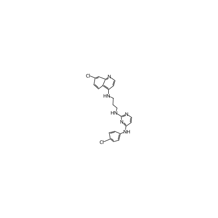 Clc1ccc(Nc2ccnc(NCCCNc3ccnc4cc(Cl)ccc34)n2)cc1